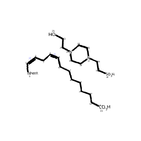 CCCCC/C=C\C/C=C\CCCCCCCC(=O)O.O=S(=O)(O)CCN1CCN(CCO)CC1